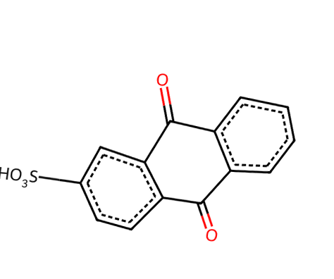 O=C1c2ccccc2C(=O)c2cc(S(=O)(=O)O)ccc21